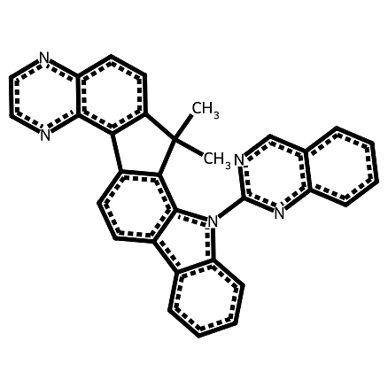 CC1(C)c2ccc3nccnc3c2-c2ccc3c4ccccc4n(-c4ncc5ccccc5n4)c3c21